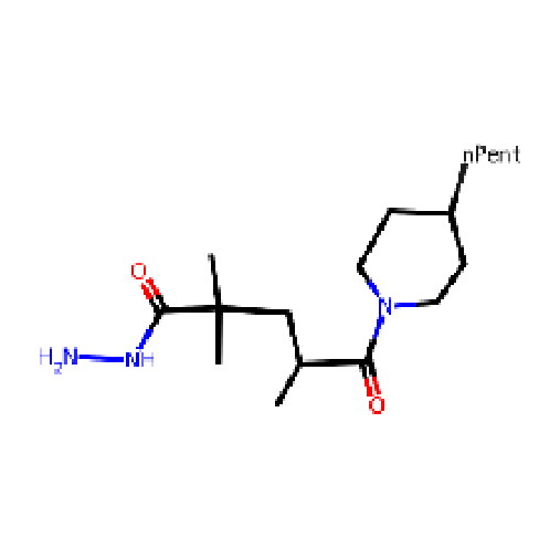 CCCCCC1CCN(C(=O)C(C)CC(C)(C)C(=O)NN)CC1